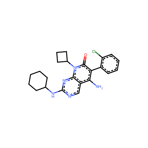 Nc1c(-c2ccccc2Cl)c(=O)n(C2CCC2)c2nc(NC3CCCCC3)ncc12